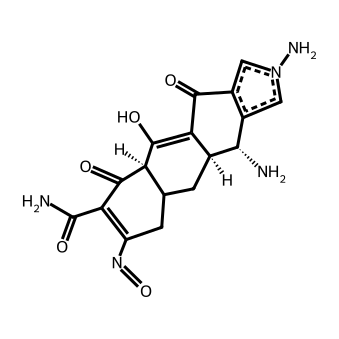 NC(=O)C1=C(N=O)CC2C[C@H]3C(=C(O)[C@@H]2C1=O)C(=O)c1cn(N)cc1[C@@H]3N